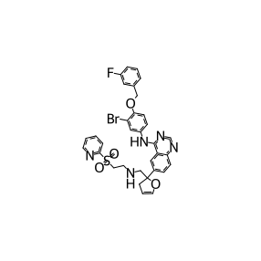 O=S(=O)(CCNCC1(c2ccc3ncnc(Nc4ccc(OCc5cccc(F)c5)c(Br)c4)c3c2)CC=CO1)c1ccccn1